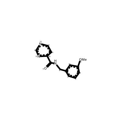 COc1cccc(CNC(=O)c2ccncn2)c1